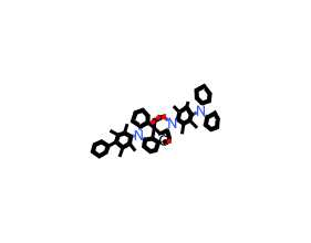 Cc1c(C)c(N2c3ccccc3C3(c4ccccc42)c2ccccc2N(c2c(C)c(C)c(N(c4ccccc4)c4ccccc4)c(C)c2C)c2ccccc23)c(C)c(C)c1-c1ccccc1